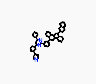 c1ccc(-c2cc(-c3cccc(-c4ccncc4)c3)nc(-c3cccc(-c4cc5c6ccccc6c(-c6ccc7ccccc7c6)cc5c5ccccc45)c3)n2)cc1